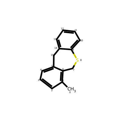 Cc1cccc2c1CSc1ccccc1C2